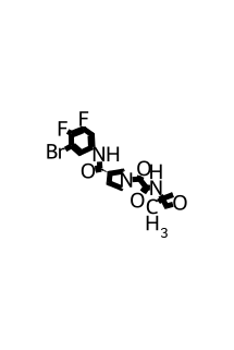 CC1(NC(=O)C(=O)N2CC[C@H](C(=O)Nc3cc(F)c(F)c(Br)c3)C2)COC1